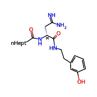 CCCCCCCC(=O)N[C@H](CC(=N)N)C(=O)NCCc1cccc(O)c1